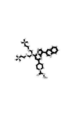 CC(C)(C)OC(=O)N1CCC(c2cc(N(COCC[Si](C)(C)C)COCC[Si](C)(C)C)n3ncc(-c4cnc5ccccc5c4)c3n2)CC1